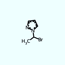 CC(Br)n1cccn1